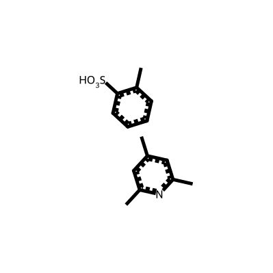 Cc1cc(C)nc(C)c1.Cc1ccccc1S(=O)(=O)O